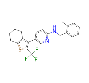 Cc1ccccc1CNc1ccc(-c2c(C(F)(F)F)sc3c2CCCC3)cn1